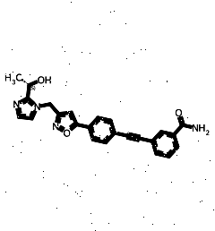 C[C@H](O)c1nccn1Cc1cc(-c2ccc(C#Cc3cccc(C(N)=O)c3)cc2)on1